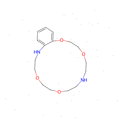 c1ccc2c(c1)NCCOCCOCCNCCOCCO2